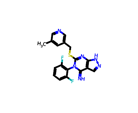 Cc1cncc(CSc2nc3[nH]ncc3c(=N)n2-c2c(F)cccc2F)c1